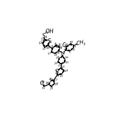 Cc1ccc(N(c2ccc(-c3ccc(SO)s3)cc2)c2ccc(-c3ccc(-c4ccc(C=O)s4)s3)cc2)c(C)c1